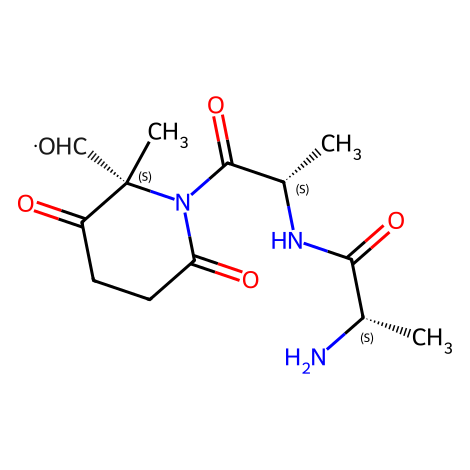 C[C@H](N)C(=O)N[C@@H](C)C(=O)N1C(=O)CCC(=O)[C@]1(C)[C]=O